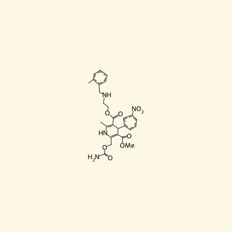 COC(=O)C1=C(COC(N)=O)NC(C)=C(C(=O)OCCNCc2ccccc2C)C1c1cccc([N+](=O)[O-])c1